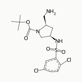 CC(C)(C)OC(=O)N1C[C@H](NS(=O)(=O)c2cc(Cl)ccc2Cl)C[C@@H]1CN